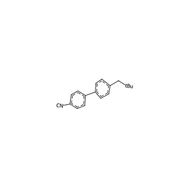 [C-]#[N+]c1ccc(-c2ccc(CC(C)(C)C)cc2)cc1